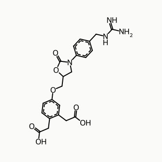 N=C(N)NCc1ccc(N2CC(COc3ccc(CC(=O)O)c(CC(=O)O)c3)OC2=O)cc1